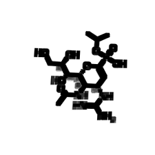 CC(=O)N[C@H]1[C@H]([C@H](O)[C@H](O)CO)OC(P(=O)(O)OC(C)C)=C[C@@H]1NC(=N)N